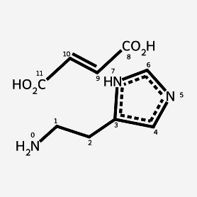 NCCc1cnc[nH]1.O=C(O)C=CC(=O)O